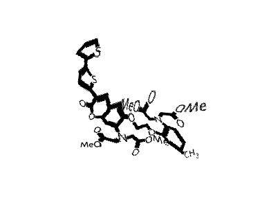 COC(=O)CN(CC(=O)OC)c1ccc(C)cc1OCCOc1cc2cc(-c3ccc(-c4cccs4)s3)c(=O)oc2cc1N(CC(=O)OC)CC(=O)OC